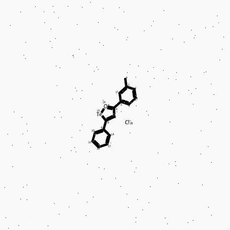 Cc1cccc(-c2cc(-c3ccccc3)[te][o+]2)c1.[Cl-]